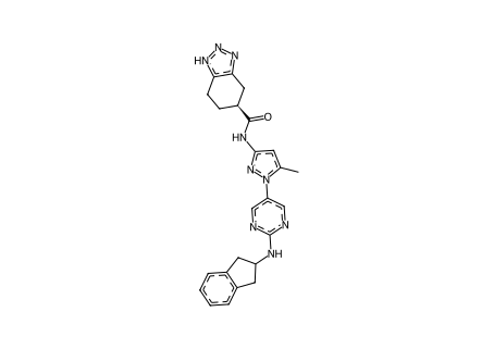 Cc1cc(NC(=O)[C@H]2CCc3[nH]nnc3C2)nn1-c1cnc(NC2Cc3ccccc3C2)nc1